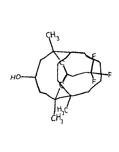 CC12CC(O)CC(C)(CC(C(F)(F)F)C1)C1(C)CCCCC2CC1